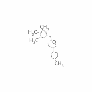 Cc1cc(CC2CCC(C3CCC(C)CC3)CO2)cc(C)c1C